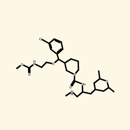 CNCC(CC1CC(C)OC(C)C1)NC(=O)N1CCCC(C(OCCNC(=O)OC)c2cccc(Cl)c2)C1